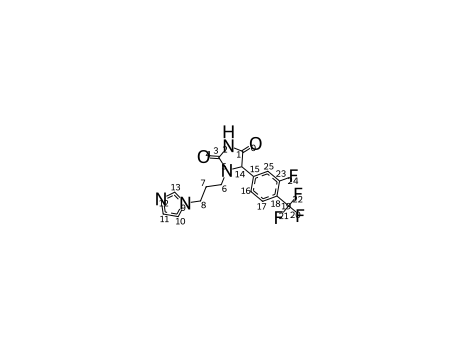 O=C1NC(=O)N(CCCn2ccnc2)C1c1ccc(C(F)(F)F)c(F)c1